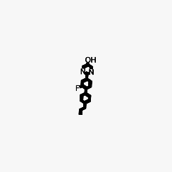 C=CCc1ccc(-c2ccc(-c3ncc(O)cn3)cc2F)cc1